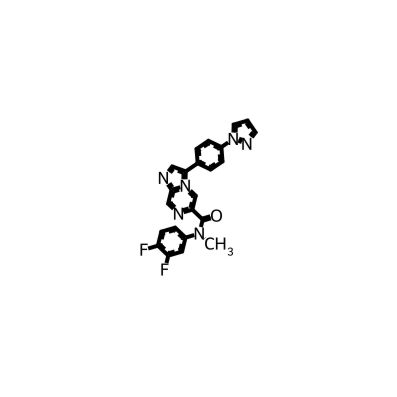 CN(C(=O)c1cn2c(-c3ccc(-n4cccn4)cc3)cnc2cn1)c1ccc(F)c(F)c1